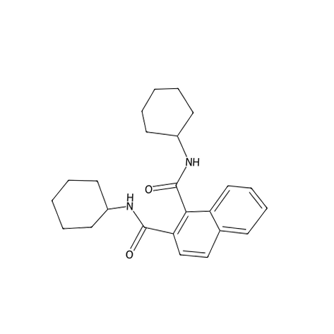 O=C(NC1CCCCC1)c1ccc2ccccc2c1C(=O)NC1CCCCC1